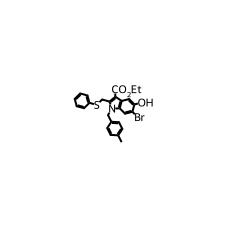 CCOC(=O)c1c(CSc2ccccc2)n(Cc2ccc(C)cc2)c2cc(Br)c(O)cc12